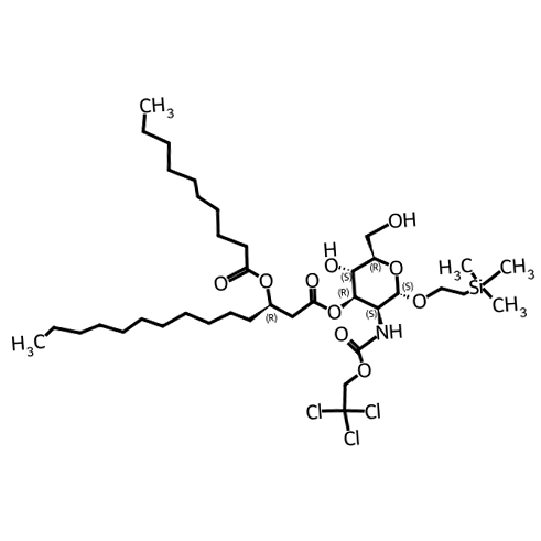 CCCCCCCCCCC[C@H](CC(=O)O[C@H]1[C@H](O)[C@@H](CO)O[C@H](OCC[Si](C)(C)C)[C@H]1NC(=O)OCC(Cl)(Cl)Cl)OC(=O)CCCCCCCCC